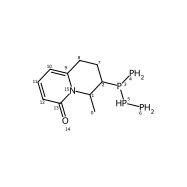 CC1C(P(P)PP)CCc2cccc(=O)n21